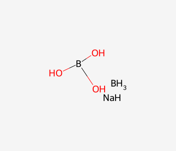 B.OB(O)O.[NaH]